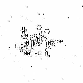 Cc1cc(C(=S)C2=C(C(=O)OC(c3ccccc3)c3ccccc3)N3C(=O)C(NC(=O)C(=NOC(C)(C)C(=O)NN)c4csc(N)n4)[C@@H]3SC2)n2nc(CO)nc2n1.Cl